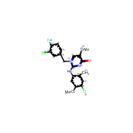 COc1cc(Nc2nc(=O)c(OC)cn2Cc2ccc(F)c(Cl)c2)c(C)cc1Cl